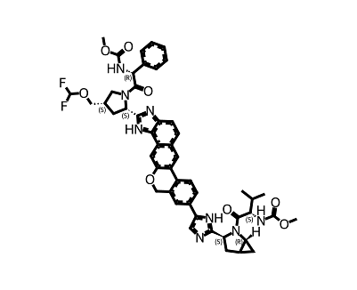 COC(=O)N[C@H](C(=O)N1[C@@H]2CC2C[C@H]1c1ncc(-c2ccc3c(c2)COc2cc4c(ccc5nc([C@@H]6C[C@H](COC(F)F)CN6C(=O)[C@H](NC(=O)OC)c6ccccc6)[nH]c54)cc2-3)[nH]1)C(C)C